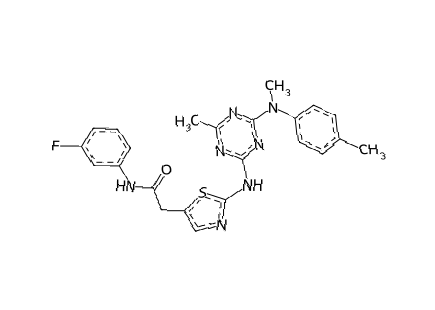 Cc1ccc(N(C)c2nc(C)nc(Nc3ncc(CC(=O)Nc4cccc(F)c4)s3)n2)cc1